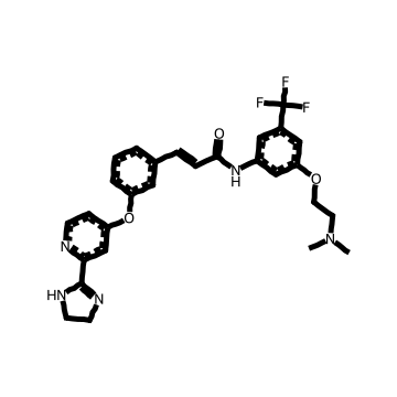 CN(C)CCOc1cc(NC(=O)C=Cc2cccc(Oc3ccnc(C4=NCCN4)c3)c2)cc(C(F)(F)F)c1